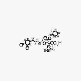 CC(C)(C)[Si](C)(C)O[C@@H](C(=O)O)[C@@H](OCCCC=Cc1ccc(Cl)c(Cl)c1)C(=O)OCc1ccccc1